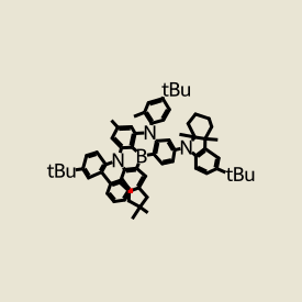 Cc1cc2c3c(c1)N(c1ccc(C(C)(C)C)cc1-c1ccccc1)c1cc4c(cc1B3c1ccc(N3c5ccc(C(C)(C)C)cc5C5(C)CCCCC35C)cc1N2c1ccc(C(C)(C)C)cc1C)CC(C)(C)C4